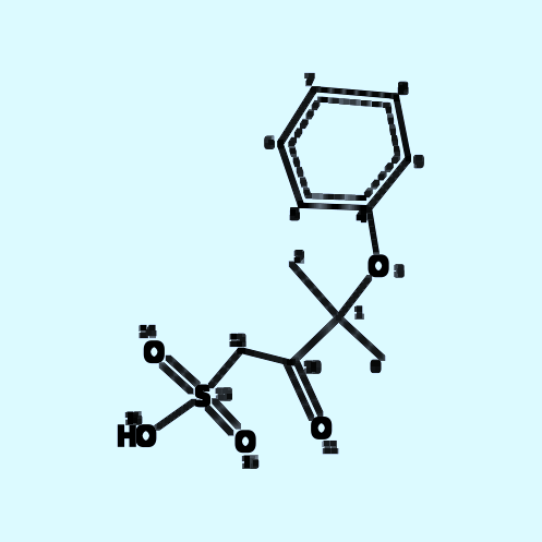 CC(C)(Oc1ccccc1)C(=O)CS(=O)(=O)O